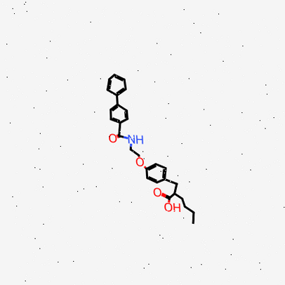 CCCCC(Cc1ccc(OCCNC(=O)c2ccc(-c3ccccc3)cc2)cc1)C(=O)O